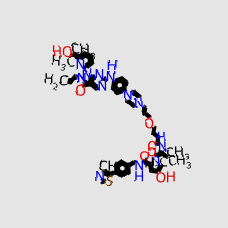 C=CCn1c(=O)c2cnc(Nc3ccc(N4CCN(CCCOCCCC(=O)N[C@H](C(=O)N5CC(O)CC5C(=O)NCc5ccc(-c6scnc6C)cc5)C(C)(C)C)CC4)cc3)nc2n1-c1cccc(C(C)(C)O)n1